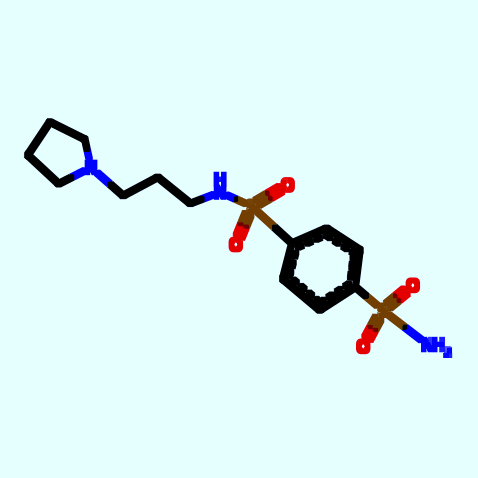 NS(=O)(=O)c1ccc(S(=O)(=O)NCCCN2CCCC2)cc1